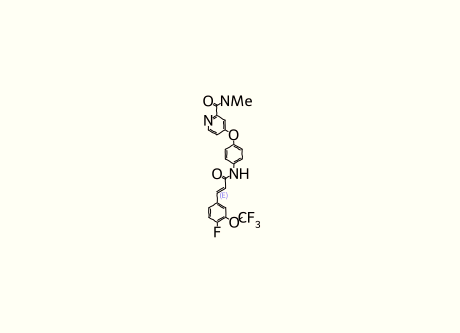 CNC(=O)c1cc(Oc2ccc(NC(=O)/C=C/c3ccc(F)c(OC(F)(F)F)c3)cc2)ccn1